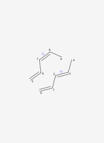 C=C/C=C/C.C=C/C=C\C